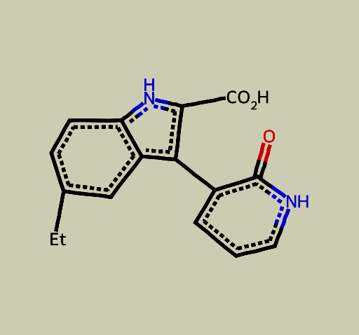 CCc1ccc2[nH]c(C(=O)O)c(-c3ccc[nH]c3=O)c2c1